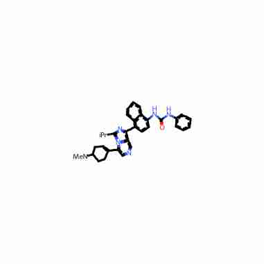 CNC1CC=C(c2cncc3c(-c4ccc(NC(=O)Nc5ccccc5)c5ccccc45)nc(C(C)C)n23)CC1